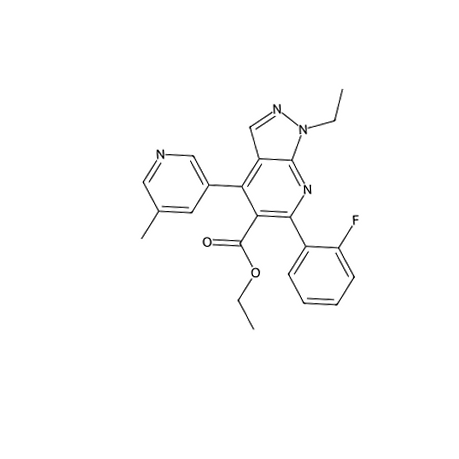 CCOC(=O)c1c(-c2ccccc2F)nc2c(cnn2CC)c1-c1cncc(C)c1